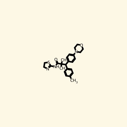 Cc1ccc(C(c2ccc(N3CCOCC3)cc2)C(C)(C)C(=O)NC2=NCCS2)cc1